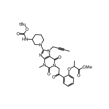 CC#CCn1c(N2CCCC(NC(=O)OC(C)(C)C)C2)nc2c1c(=O)n(CC(=O)c1ccccc1OC(C)C(=O)OC)c(=O)n2C